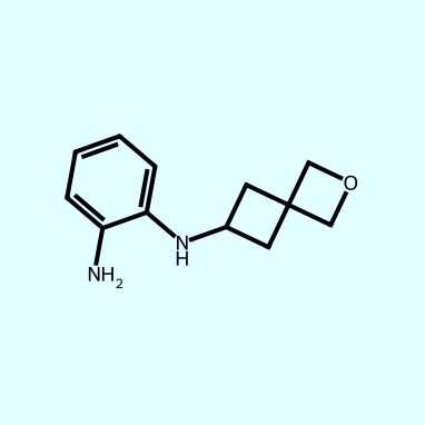 Nc1ccccc1NC1CC2(COC2)C1